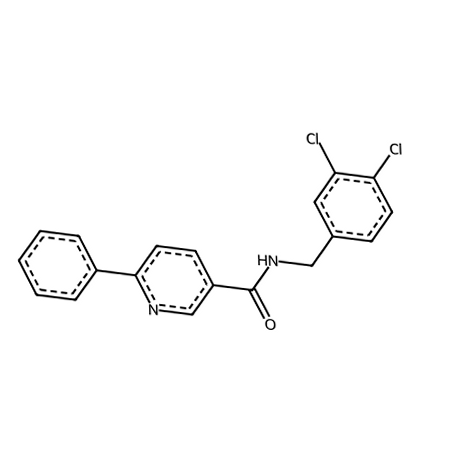 O=C(NCc1ccc(Cl)c(Cl)c1)c1ccc(-c2ccccc2)nc1